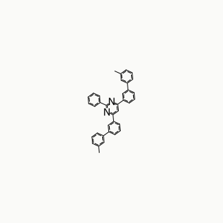 Cc1cccc(-c2cccc(-c3cc(-c4cccc(-c5cccc(C)c5)c4)nc(-c4ccccc4)n3)c2)c1